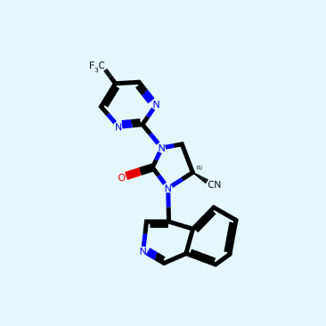 N#C[C@@H]1CN(c2ncc(C(F)(F)F)cn2)C(=O)N1c1cncc2ccccc12